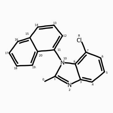 Cc1nc2cccc(Cl)c2n1-c1cccc2ccccc12